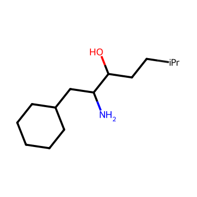 CC(C)CCC(O)C(N)CC1CCCCC1